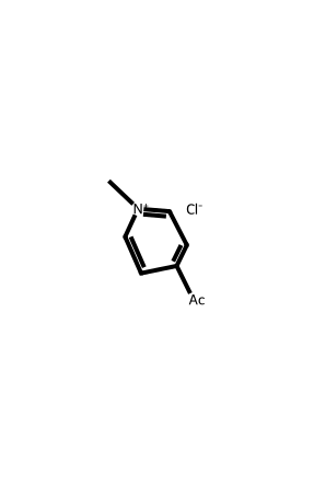 CC(=O)c1cc[n+](C)cc1.[Cl-]